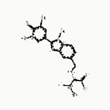 Cc1cc(-c2nc3cc(CN[C@H](C(=O)O)[C@@H](C)O)ccc3n2C)cn(C)c1=O